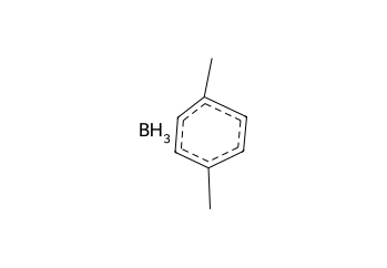 B.Cc1ccc(C)cc1